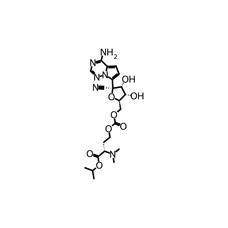 CC(C)OC(=O)[C@H](CCOC(=O)OC[C@H]1O[C@@](C#N)(c2ccc3c(N)ncnn23)[C@H](O)[C@@H]1O)N(C)C